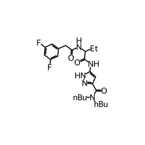 CCCCN(CCCC)C(=O)c1cc(NC(=O)C(CC)NC(=O)Cc2cc(F)cc(F)c2)[nH]n1